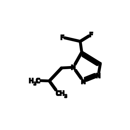 CC(C)Cn1nncc1C(F)F